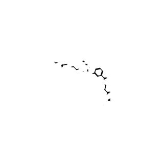 CCOC(=O)COCCOC[C@@H](N=[N+]=[N-])Oc1cccc(C(=O)NCCC(=O)OC(C)(C)C)c1